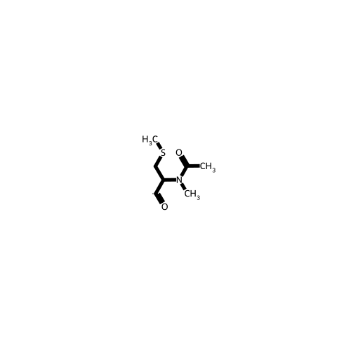 CSCC([C]=O)N(C)C(C)=O